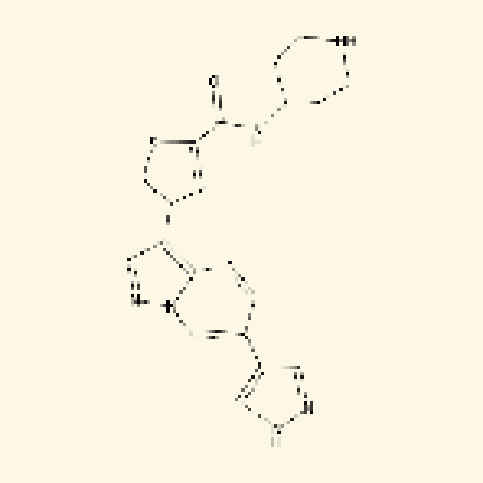 O=C(NC1CCNCC1)C1=CC(c2cnn3cc(-c4cn[nH]c4)cnc23)CS1